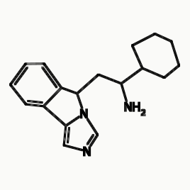 NC(CC1c2ccccc2-c2cncn21)C1CCCCC1